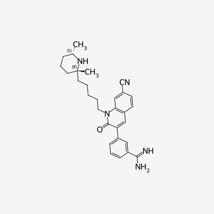 C[C@H]1CCC[C@@](C)(CCCCCn2c(=O)c(-c3cccc(C(=N)N)c3)cc3ccc(C#N)cc32)N1